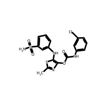 Cc1nc(OC(=O)Nc2cccc(Cl)c2)c(Nc2cccc(S(N)(=O)=O)c2)s1